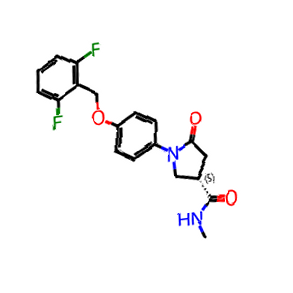 CNC(=O)[C@H]1CC(=O)N(c2ccc(OCc3c(F)cccc3F)cc2)C1